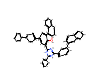 c1ccc(-c2ccc(-c3cc(-c4nc(-c5ccccc5)nc(-c5cccc(-c6ccc7ccccc7c6)c5)n4)c4oc5ccc6ccccc6c5c4c3)cc2)cc1